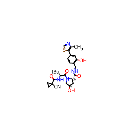 Cc1ncsc1-c1ccc(CNC(=O)[C@@H]2C[C@@H](O)CN2C(=O)[C@@H](NC(=O)C2(C#N)CC2)C(C)(C)C)c(O)c1